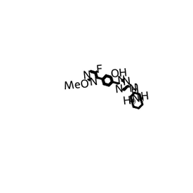 COc1ncc(F)c(-c2ccc(-c3ncc(N(C)C4C[C@H]5CCC[C@H](C4)N5)nn3)c(O)c2)n1